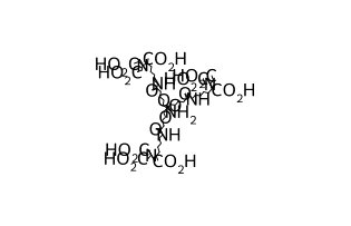 NC(COCCC(=O)NCCCCC(C(=O)O)N(CC(=O)O)CC(=O)O)(COCCC(=O)NCCCCC(C(=O)O)N(CC(=O)O)CC(=O)O)COCCC(=O)NCCCCC(C(=O)O)N(CC(=O)O)CC(=O)O